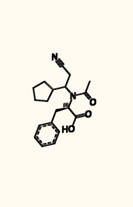 CC(=O)N(C(CC#N)C1CCCC1)[C@H](Cc1ccccc1)C(=O)O